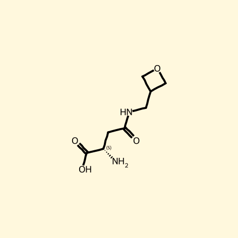 N[C@@H](CC(=O)NCC1COC1)C(=O)O